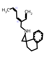 C=C/C(=C\C=C/C)CNC1CC12CCCc1ccccc12